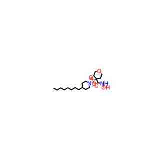 CCCCCCCCC1CCN(S(=O)(=O)C2(C(=O)NO)CCOCC2)CC1